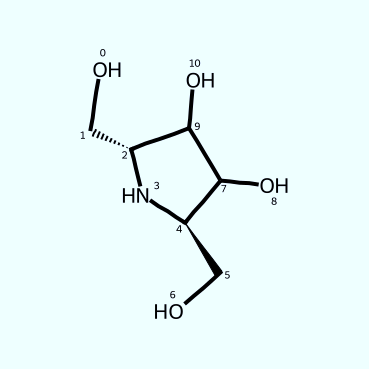 OC[C@H]1N[C@H](CO)C(O)C1O